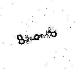 Nc1nc(NCc2ccc(CNS(=O)(=O)c3cccc4ccccc34)cc2)nc2ccccc12